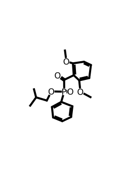 COc1cccc(OC)c1C(=O)P(=O)(OCC(C)C)c1ccccc1